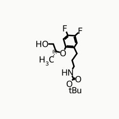 C[C@H](CO)Oc1cc(F)c(F)cc1CCCNC(=O)OC(C)(C)C